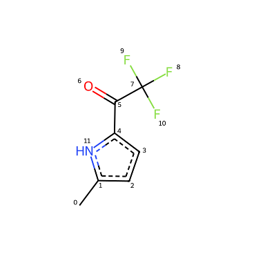 Cc1ccc(C(=O)C(F)(F)F)[nH]1